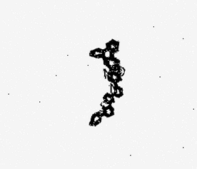 c1ccc(-c2cccc3c2sc2ccc(-c4cccc(-c5cnc6c(c5)oc5cc7c8ccccc8c8ccccc8c7cc56)n4)cc23)cc1